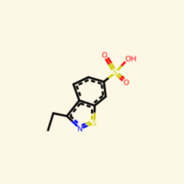 CCc1nsc2cc(S(=O)(=O)O)ccc12